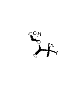 CCC(C)(F)C(=O)OCC(=O)O